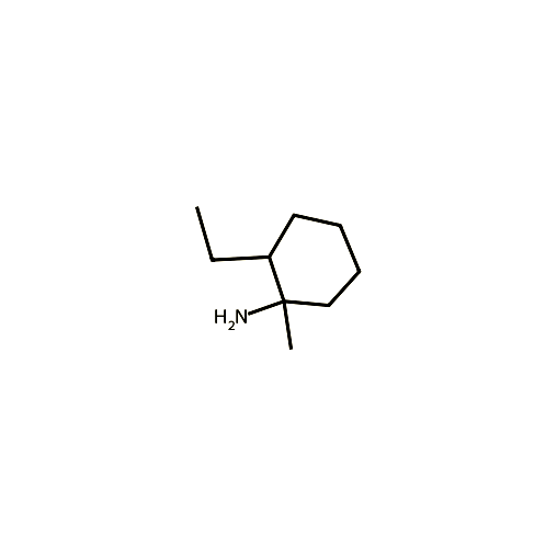 CCC1CCCCC1(C)N